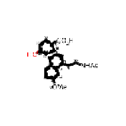 COc1ccc2cccc(CCNC(C)=O)c2c1.O=C(O)c1ccc(O)cc1